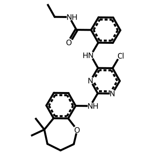 CCNC(=O)c1ccccc1Nc1nc(Nc2cccc3c2OCCCC3(C)C)ncc1Cl